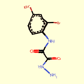 NNC(=O)C(=O)Nc1ccc(Br)cc1Br